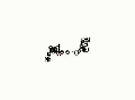 Cc1ncsc1-c1ccc(CNC(=O)[C@@H]2CCCN2C(=O)C(NC(=O)COCCCOCCCCCOc2ccc(N3C(=S)N(c4ccc(C#N)c(C(F)(F)F)c4)C(=O)C3(C)C)cc2)C(C)(C)C)cc1